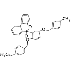 C=Cc1ccc(COc2ccc(OCc3ccc(C)cc3)cc2P2(=O)Oc3ccccc3-c3ccccc32)cc1